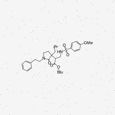 COc1ccc(S(=O)(=O)NCC(C(=O)OC(C)(C)C)C2(CC(C)C)CCN(CCc3ccccc3)C2=O)cc1